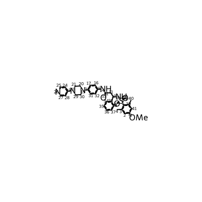 COc1cc(C)c(S(=O)(=O)NC(CC(=O)Nc2ccc(N3CCN(c4ccncc4)CC3)cc2)c2ccccc2)c(C)c1